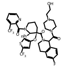 CCC[C@H]1N(C(=O)c2ncccc2C(F)(F)F)CCC[C@]1(Oc1csc(C(F)(F)F)c1)C(=O)N1CCc2cc(F)ccc2C1C(=O)N1CCN(CCO)CC1